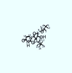 CC(C)(C)[Si](C)(C)OC[C@H]1O[C@@H](n2ccc(=O)[nH]c2=O)C(O[Si](C)(C)C(C)(C)C)C1O